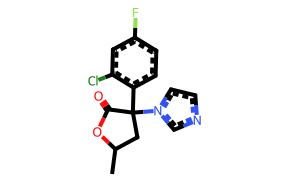 CC1CC(c2ccc(F)cc2Cl)(n2ccnc2)C(=O)O1